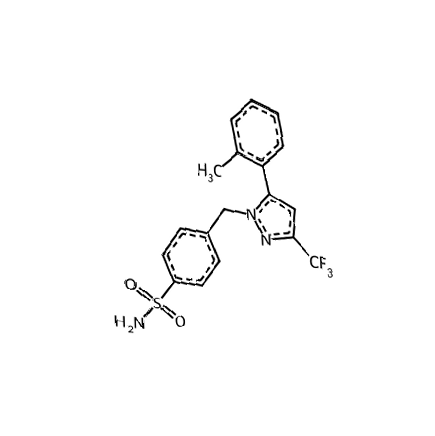 Cc1ccccc1-c1cc(C(F)(F)F)nn1Cc1ccc(S(N)(=O)=O)cc1